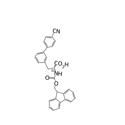 N#Cc1ccc(-c2cccc(C[C@H](NC(=O)OCC3c4ccccc4-c4ccccc43)C(=O)O)c2)cc1